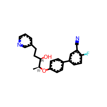 C[C@H](Oc1ccc(-c2ccc(F)c(C#N)c2)cc1)[C@H](O)CCc1cccnc1